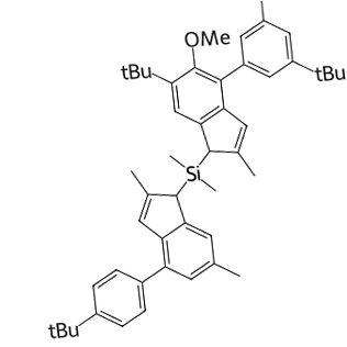 COc1c(C(C)(C)C)cc2c(c1-c1cc(C(C)(C)C)cc(C(C)(C)C)c1)C=C(C)C2[Si](C)(C)C1C(C)=Cc2c(-c3ccc(C(C)(C)C)cc3)cc(C)cc21